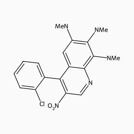 CNc1cc2c(-c3ccccc3Cl)c([N+](=O)[O-])cnc2c(NC)c1NC